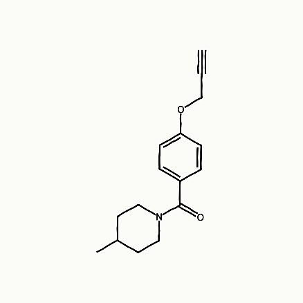 C#CCOc1ccc(C(=O)N2CCC(C)CC2)cc1